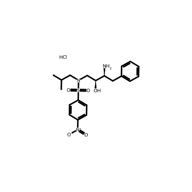 CC(C)CN(C[C@H](O)[C@@H](N)Cc1ccccc1)S(=O)(=O)c1ccc([N+](=O)[O-])cc1.Cl